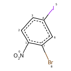 O=[N+]([O-])c1ccc(I)cc1Br